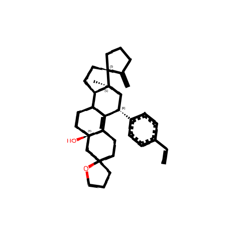 C=Cc1ccc([C@H]2C[C@@]3(C)C(CC[C@]34CCCC4=C)C3CC[C@@]4(O)CC5(CCCO5)CCC4=C32)cc1